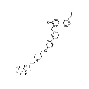 CC(C)(C)OC(=O)CCN1CCC(COc2cnc(-c3cccc(Cn4nc(-c5cccc(C#N)c5)ccc4=O)c3)nc2)CC1